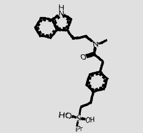 CC(C)[Si](O)(O)CCc1ccc(CC(=O)N(C)CCc2c[nH]c3ccccc23)cc1